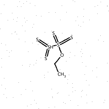 CCOS(=S)(=S)[SH](=S)=S